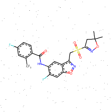 CC1(C)CC(S(=O)(=O)Cc2noc3cc(F)c(NC(=O)c4ccc(F)cc4C(F)(F)F)cc23)=NO1